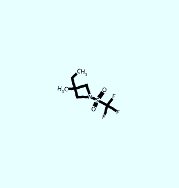 CCC1(C)CN(S(=O)(=O)C(F)(F)F)C1